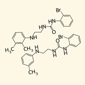 Cc1cccc(NCCNC(=O)Nc2ccccc2Br)c1.Cc1cccc(NCCNC(=O)Nc2ccccc2Br)c1C